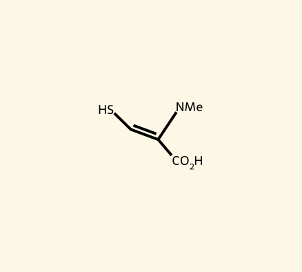 CN/C(=C\S)C(=O)O